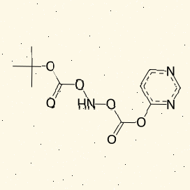 CC(C)(C)OC(=O)ONOC(=O)Oc1ccncn1